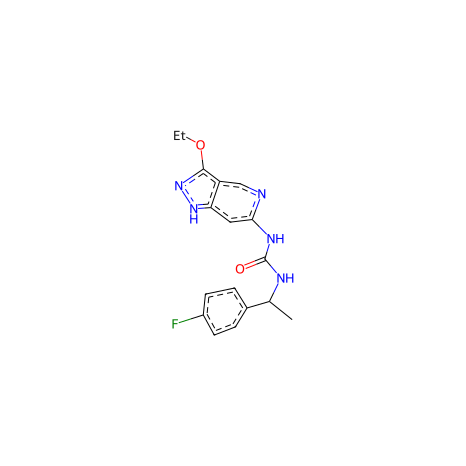 CCOc1n[nH]c2cc(NC(=O)NC(C)c3ccc(F)cc3)ncc12